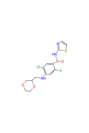 [O-][S+](Nc1nccs1)c1cc(Cl)c(NCC2COCCO2)cc1F